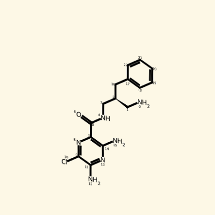 NC[C@@H](CNC(=O)c1nc(Cl)c(N)nc1N)Cc1ccccc1